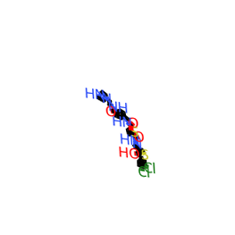 C/C(=N\NC(=O)c1ccc(C(=O)NCc2ccc(C(=O)NCCN3CCNCC3)cc2)s1)c1csc(-c2ccc(Cl)c(Cl)c2)c1O